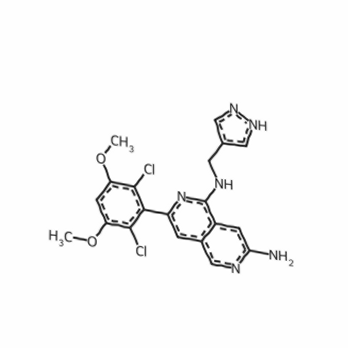 COc1cc(OC)c(Cl)c(-c2cc3cnc(N)cc3c(NCc3cn[nH]c3)n2)c1Cl